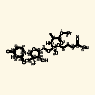 CC(C)OC(=O)C(C)NP(=O)(OCCSC(=O)C(C)(C)C)OC[C@H]1O[C@@H](n2ccc(=O)[nH]c2=O)[C@](F)(Cl)[C@@H]1O